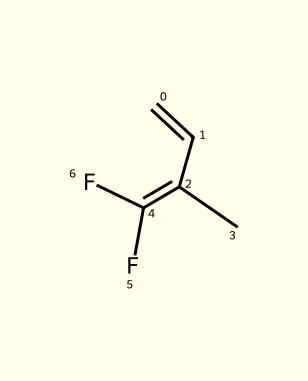 C=CC(C)=C(F)F